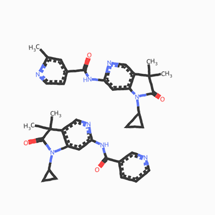 CC1(C)C(=O)N(C2CC2)c2cc(NC(=O)c3cccnc3)ncc21.Cc1cc(C(=O)Nc2cc3c(cn2)C(C)(C)C(=O)N3C2CC2)ccn1